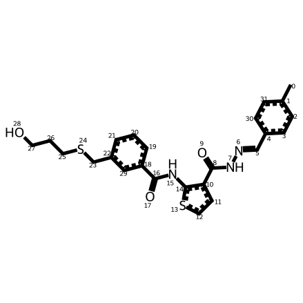 Cc1ccc(C=NNC(=O)c2ccsc2NC(=O)c2cccc(CSCCCO)c2)cc1